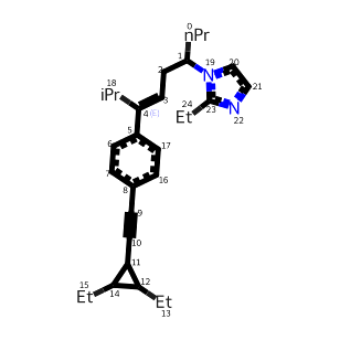 CCCC(C/C=C(/c1ccc(C#CC2C(CC)C2CC)cc1)C(C)C)n1ccnc1CC